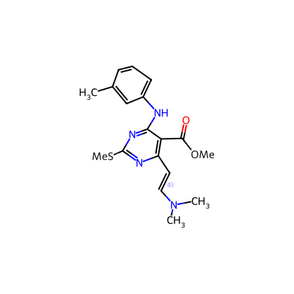 COC(=O)c1c(/C=C/N(C)C)nc(SC)nc1Nc1cccc(C)c1